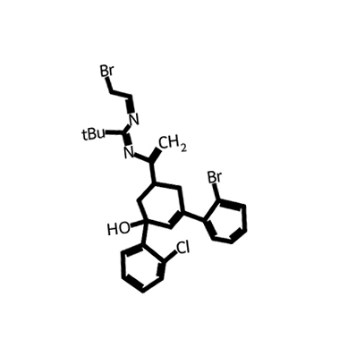 C=C(/N=C(\N=C/CBr)C(C)(C)C)C1CC(c2ccccc2Br)=CC(O)(c2ccccc2Cl)C1